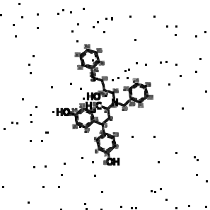 CC(CC(c1ccc(O)cc1)c1ccc(O)cc1)N(Cc1ccccc1)C[C@H](O)CSc1ccccc1